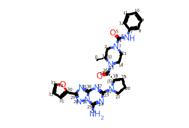 C[C@H]1CN(C(=O)Nc2ccccc2)CCN1C(=O)[C@@H]1CCCN1c1nc(N)n2nc(-c3ccco3)nc2n1